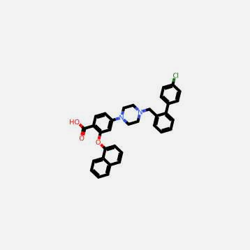 O=C(O)c1ccc(N2CCN(Cc3ccccc3-c3ccc(Cl)cc3)CC2)cc1Oc1cccc2ccccc12